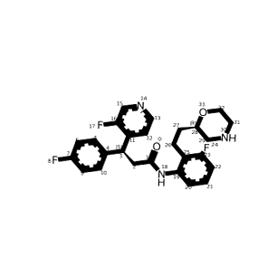 O=C(C[C@@H](c1ccc(F)cc1)c1ccncc1F)Nc1cccc(F)c1CC[C@@H]1CN[CH]CO1